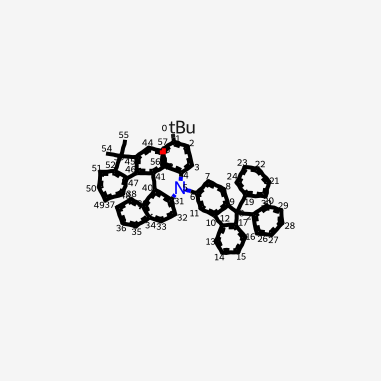 CC(C)(C)c1ccc(N(c2ccc3c(c2)-c2ccccc2C3(c2ccccc2)c2ccccc2)c2ccc3ccccc3c2-c2cccc3c2-c2ccccc2C3(C)C)cc1